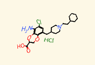 Cl.Nc1c(Cl)cc(CC2CCN(CCC3CCCCC3)CC2)c2c1OC(C(=O)O)CO2